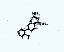 CCc1ccccc1-c1ccc2c(N)nc(N)nc2c1